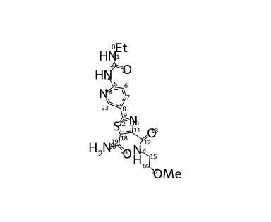 CCNC(=O)Nc1ccc(-c2nc(C(=O)NCCOC)c(C(N)=O)s2)cn1